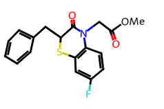 COC(=O)CN1C(=O)C(Cc2ccccc2)Sc2cc(F)ccc21